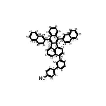 N#Cc1ccc(-c2cccc(-c3ccc4c5c(cccc35)-c3c-4c(-c4ccc5ccccc5c4)c4ccccc4c3-c3ccc4ccccc4c3)c2)cc1